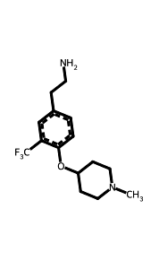 CN1CCC(Oc2ccc(CCN)cc2C(F)(F)F)CC1